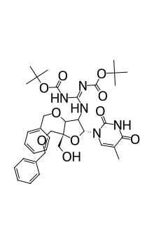 Cc1cn([C@@H]2O[C@](CO)(COCc3ccccc3)C(OCc3ccccc3)C2N/C(=N\C(=O)OC(C)(C)C)NC(=O)OC(C)(C)C)c(=O)[nH]c1=O